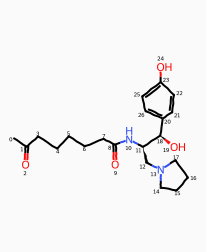 CC(=O)CCCCCC(=O)N[C@H](CN1CCCC1)[C@H](O)c1ccc(O)cc1